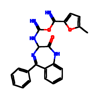 Cc1ccc(C(=N)OC(=N)NC2N=C(c3ccccc3)c3ccccc3NC2=O)o1